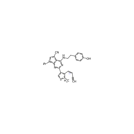 C#C/C=C\c1c(-c2nc(NCCc3ccc(O)cc3)c3c(C#N)cn(C(C)C)c3n2)csc1C